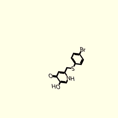 O=c1cc(CSc2ccc(Br)cc2)[nH]cc1O